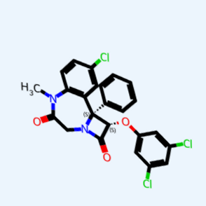 CN1C(=O)CN2C(=O)[C@@H](Oc3cc(Cl)cc(Cl)c3)[C@]2(c2ccccc2)c2cc(Cl)ccc21